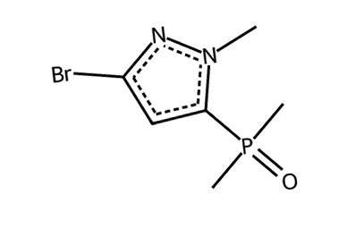 Cn1nc(Br)cc1P(C)(C)=O